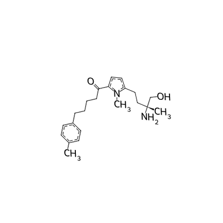 Cc1ccc(CCCCC(=O)c2ccc(CC[C@@](C)(N)CO)n2C)cc1